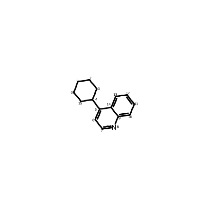 [CH]1CCCC(c2ccnc3ccccc23)C1